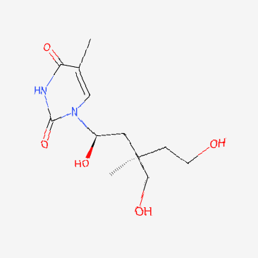 Cc1cn([C@H](O)C[C@](C)(CO)CCO)c(=O)[nH]c1=O